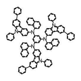 c1ccc(-c2ccc3c(c2)c2cc(N(c4cc(N(c5ccc6c(c5)c5cc(-c7ccccc7)ccc5n6-c5ccccc5)c5cccc6ccccc56)cc(N(c5ccc6c(c5)c5cc(-c7ccccc7)ccc5n6-c5ccccc5)c5cccc6ccccc56)c4)c4cccc5ccccc45)ccc2n3-c2ccccc2)cc1